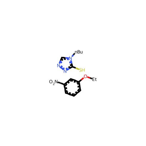 CCCCn1cnnc1S.CCOc1cccc([N+](=O)[O-])c1